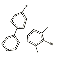 Brc1c(I)cccc1I.Brc1ccc(-c2ccccc2)cc1